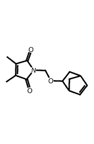 CC1=C(C)C(=O)N(COC2CC3C=CC2C3)C1=O